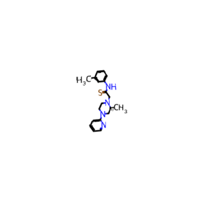 Cc1cccc(NC(=S)CN2CCN(c3ccccn3)C[C@@H]2C)c1